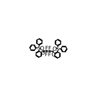 O=C(OS(c1ccccc1)(c1ccccc1)c1ccccc1)C(F)(F)C(F)(F)C(=O)OS(c1ccccc1)(c1ccccc1)c1ccccc1